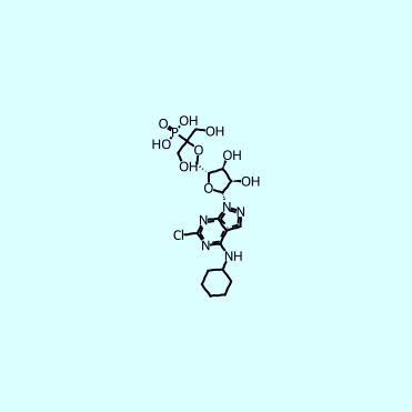 O=P(O)(O)C(CO)(CO)OC[C@H]1O[C@@H](n2ncc3c(NC4CCCCC4)nc(Cl)nc32)[C@H](O)[C@@H]1O